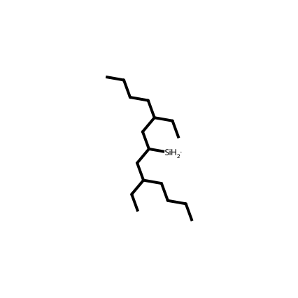 CCCCC(CC)CC([SiH2])CC(CC)CCCC